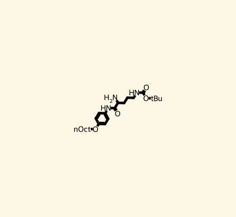 CCCCCCCCOc1ccc(NC(=O)C(N)CCCNC(=O)OC(C)(C)C)cc1